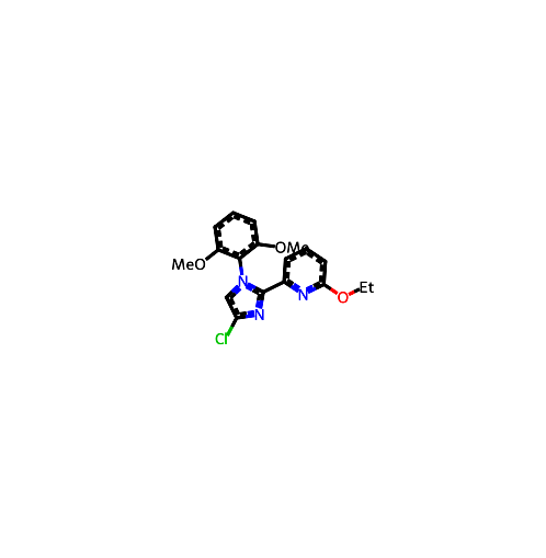 CCOc1cccc(-c2nc(Cl)cn2-c2c(OC)cccc2OC)n1